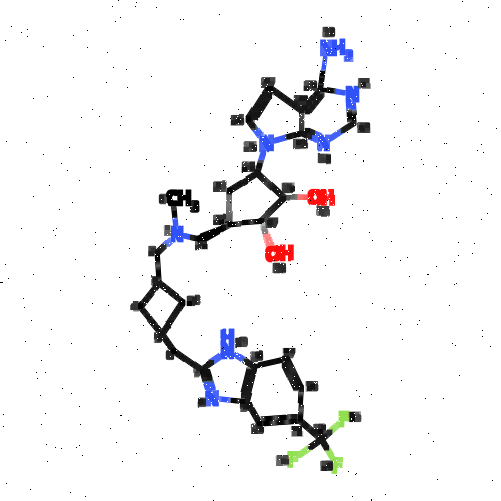 CN(CC1CC(Cc2nc3cc(C(F)(F)F)ccc3[nH]2)C1)C[C@H]1CC(n2ccc3c(N)ncnc32)C(O)[C@@H]1O